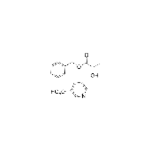 CC(O)C(=O)OCc1ccccc1.O=C(O)c1cccnc1